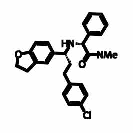 CNC(=O)[C@H](N[C@H](CCc1ccc(Cl)cc1)c1ccc2c(c1)CCO2)c1ccccc1